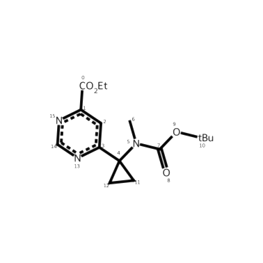 CCOC(=O)c1cc(C2(N(C)C(=O)OC(C)(C)C)CC2)ncn1